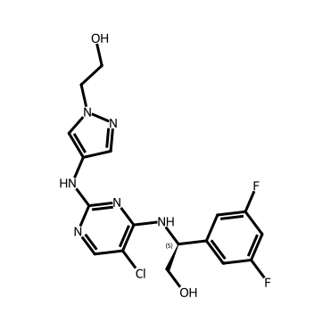 OCCn1cc(Nc2ncc(Cl)c(N[C@H](CO)c3cc(F)cc(F)c3)n2)cn1